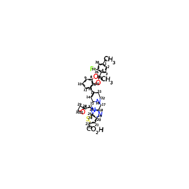 Cc1ccc([C@]2(C)Oc3cccc(C4=CCN(Cc5nc6cc(C(=O)O)sc6n5C[C@@H]5CCO5)CC4)c3O2)c(F)c1